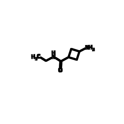 CCNC(=O)C1CC(N)C1